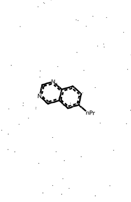 CCCc1ccc2ncncc2c1